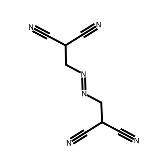 N#CC(C#N)CN=NCC(C#N)C#N